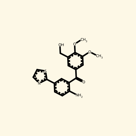 COc1cc(C(=O)c2cc(-c3nccs3)ccc2N)cc(CO)c1OC